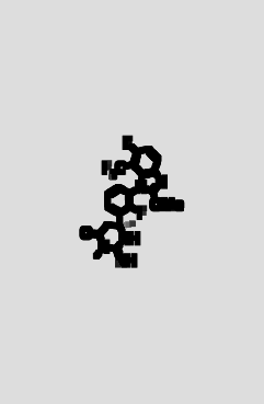 COc1nc2ccc(F)c(C(F)(F)F)c2n1-c1cccc([C@]2(C)CC(=O)N(C)C(=N)N2)c1F